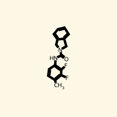 Cc1ccc(NC(=O)N2Cc3ccccc3C2)c(F)c1F